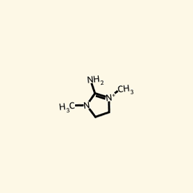 CN1CC[N+](C)=C1N